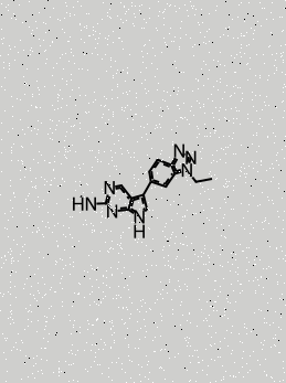 CCn1nnc2ccc(-c3c[nH]c4nc(NC)ncc34)cc21